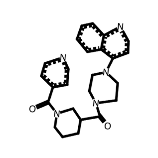 O=C(c1ccncc1)N1CCCC(C(=O)N2CCN(c3ccnc4ccccc34)CC2)C1